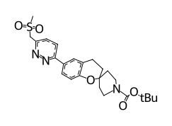 CC(C)(C)OC(=O)N1CCC2(CCc3cc(-c4ccc(CS(C)(=O)=O)nn4)ccc3O2)CC1